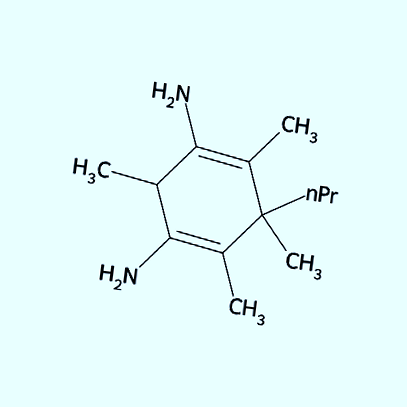 CCCC1(C)C(C)=C(N)C(C)C(N)=C1C